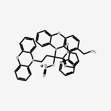 CCc1ccc2c(c1-c1ncccn1)N(C(CCN1c3ccccc3Oc3ccccc31)(O[SH](=O)=O)C1=NC=CCN1Cl)c1ccccc1O2